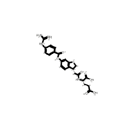 N=C(N)Nc1ccc(C(=O)Oc2ccc3c(c2)OC[C@@H]3CC(=O)N[C@@H](CCC(=O)O)C(=O)O)cc1